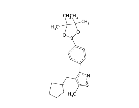 Cc1snc(-c2ccc(B3OC(C)(C)C(C)(C)O3)cc2)c1C[C]1CCCC1